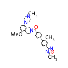 COc1ccc(N2CCN(C)CC2)c2c1CCN(C(=O)c1ccc(-c3ccc(-c4noc(C)n4)cc3C)cc1)C2